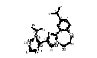 CC(C)c1ccc2c(c1)-c1nc(-c3ncnn3C(C)C)cn1CCO2